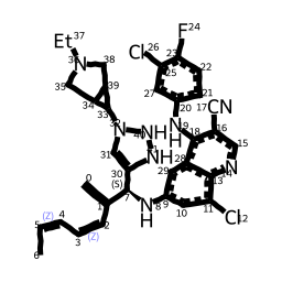 C=C(/C=C\C=C/C)[C@H](Nc1cc(Cl)c2ncc(C#N)c(Nc3ccc(F)c(Cl)c3)c2c1)C1=CN(C2C3CN(CC)CC32)NN1